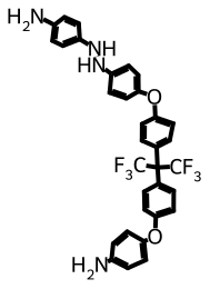 Nc1ccc(NNc2ccc(Oc3ccc(C(c4ccc(Oc5ccc(N)cc5)cc4)(C(F)(F)F)C(F)(F)F)cc3)cc2)cc1